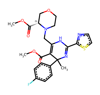 COC(=O)C1=C(CN2CCOC[C@H]2C(=O)OC)NC(c2nccs2)=NC1(C)c1ccc(F)cc1